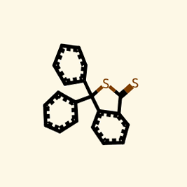 S=C1SC(c2ccccc2)(c2ccccc2)c2ccccc21